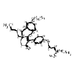 CCCCC12CCC(=O)C(c3ccc(OCCN(C)C)cc3)=C1c1ccc(O)cc1C2.Cl